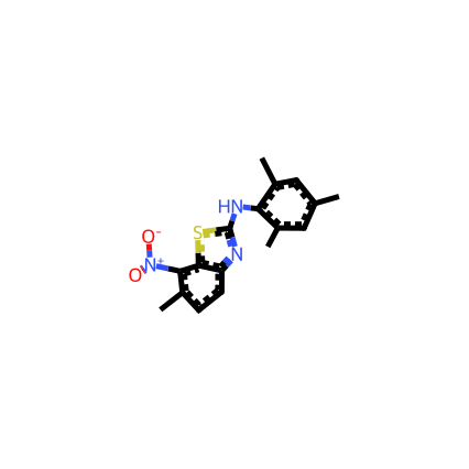 Cc1cc(C)c(Nc2nc3ccc(C)c([N+](=O)[O-])c3s2)c(C)c1